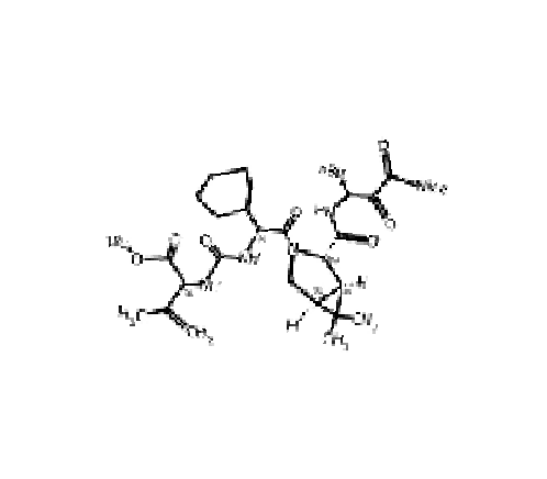 C=C(C)[C@H](NC(=O)N[C@H](C(=O)N1C[C@H]2[C@@H]([C@H]1C(=O)NC(CCCC)C(=O)C(=O)NC)C2(C)C)C1CCCCC1)C(=O)OC(C)(C)C